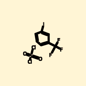 FC(F)(F)c1cccc(I)c1.O=S(=O)(Cl)Cl